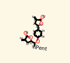 C=C1CC(c2ccc(OC(CCCCC)C3CC(=C)C(=O)O3)cc2)OC1=O